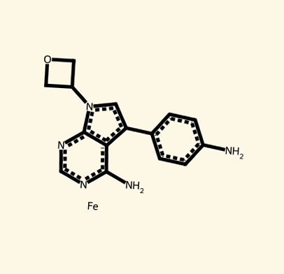 Nc1ccc(-c2cn(C3COC3)c3ncnc(N)c23)cc1.[Fe]